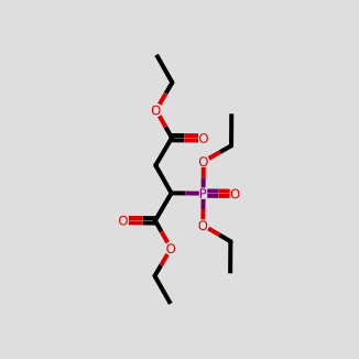 CCOC(=O)CC(C(=O)OCC)P(=O)(OCC)OCC